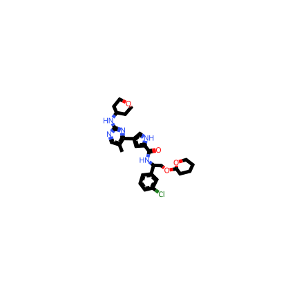 Cc1cnc(NC2CCOCC2)nc1-c1c[nH]c(C(=O)NC(COC2CCCCO2)c2cccc(Cl)c2)c1